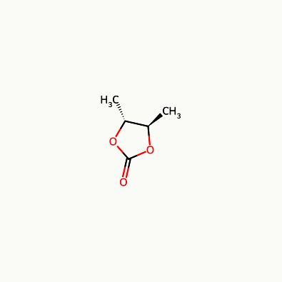 C[C@H]1OC(=O)O[C@@H]1C